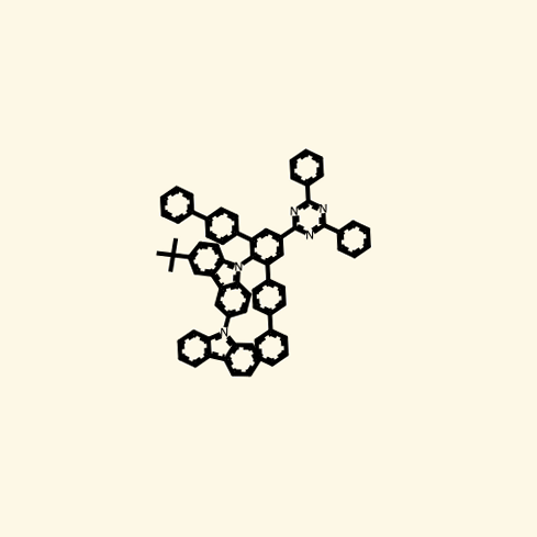 CC(C)(C)c1ccc2c(c1)c1cc(-n3c4ccccc4c4ccccc43)ccc1n2-c1c(-c2ccc(-c3ccccc3)cc2)cc(-c2nc(-c3ccccc3)nc(-c3ccccc3)n2)cc1-c1ccc(-c2ccccc2)cc1